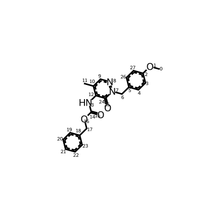 COc1ccc(Cn2ncc(C)c(NC(=O)OCc3ccccc3)c2=O)cc1